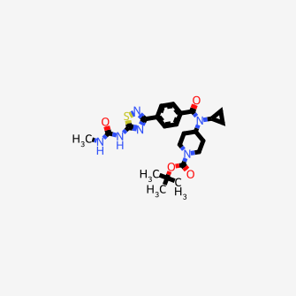 CNC(=O)Nc1nc(-c2ccc(C(=O)N(C3CC3)C3CCN(C(=O)OC(C)(C)C)CC3)cc2)ns1